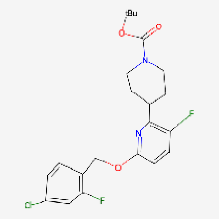 CC(C)(C)OC(=O)N1CCC(c2nc(OCc3ccc(Cl)cc3F)ccc2F)CC1